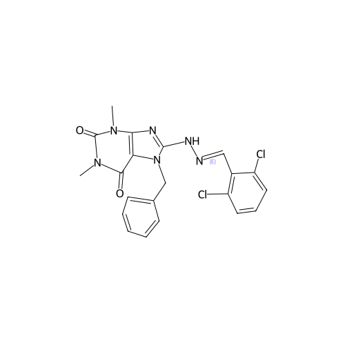 Cn1c(=O)c2c(nc(N/N=C/c3c(Cl)cccc3Cl)n2Cc2ccccc2)n(C)c1=O